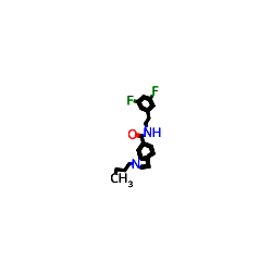 CCCCn1ccc2ccc(C(=O)NCCc3cc(F)cc(F)c3)cc21